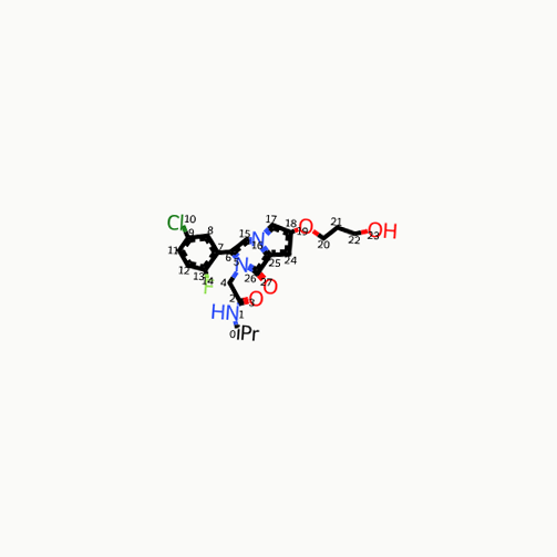 CC(C)NC(=O)Cn1c(-c2cc(Cl)ccc2F)cn2cc(OCCCO)cc2c1=O